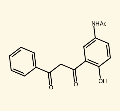 CC(=O)Nc1ccc(O)c(C(=O)CC(=O)c2ccccc2)c1